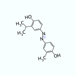 Cc1cc(/N=N/c2ccc(O)c(C(C)C)c2)ccc1O